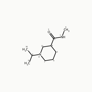 CNC(=O)C1CCCN(C(C)C)C1